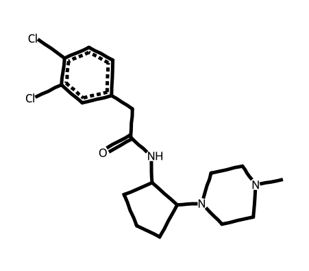 CN1CCN(C2CCCC2NC(=O)Cc2ccc(Cl)c(Cl)c2)CC1